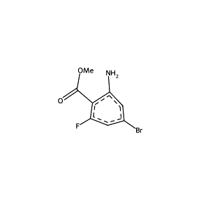 COC(=O)c1c(N)cc(Br)cc1F